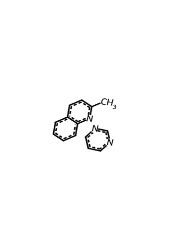 Cc1ccc2ccccc2n1.c1cncnc1